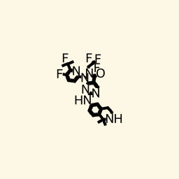 CC(C)(F)c1nc(-n2c3nc(Nc4ccc5c(c4)CCNC5(C)C)ncc3c(=O)n2CC(F)(F)F)ccc1F